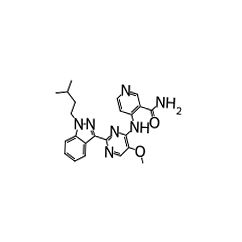 COc1cnc(-c2nn(CCC(C)C)c3ccccc23)nc1Nc1ccncc1C(N)=O